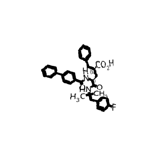 CC(C)(Cc1ccc(F)cc1)NC(=O)[C@H](C[C@H](Cc1ccccc1)C(=O)O)NC(=O)c1ccc(-c2ccccc2)cc1